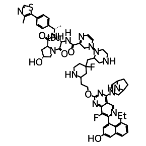 CCc1cccc2cc(O)cc(-c3ncc4c(N5CC6CCC(C5)N6)nc(OCCC5CC(F)(CC6CNCCN6N6C=CN=C(C(=O)N[C@H](C(=O)N7C[C@H](O)C[C@H]7C(=O)N[C@@H](C)c7ccc(-c8scnc8C)cc7)C(C)(C)C)C6)CCN5)nc4c3F)c12